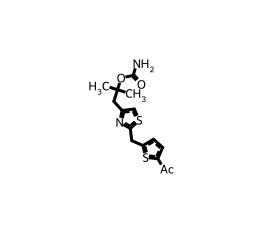 CC(=O)c1ccc(Cc2nc(CC(C)(C)OC(N)=O)cs2)s1